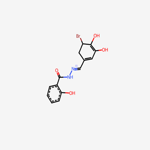 O=C(N/N=C/C1=CC(O)=C(O)C(Br)C1)c1ccccc1O